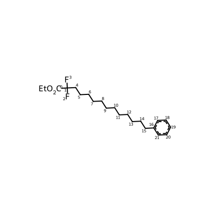 CCOC(=O)C(F)(F)CCCCCCCCCCCCc1ccccc1